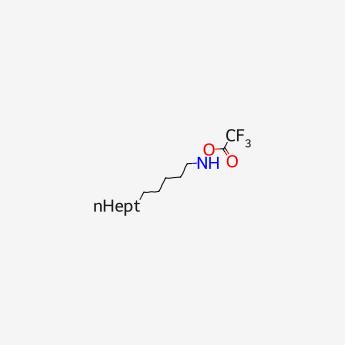 CCCCCCCCCCCCNOC(=O)C(F)(F)F